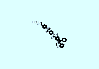 O=C(O)C=Cc1ccc(NC(=O)[C@H]2CC[C@@H](NC(=O)c3ccc4c(C5CCCCC5)c5n(c4c3)CCOc3ccccc3-5)CC2)cc1